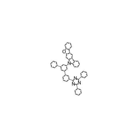 c1ccc(-c2cc(-c3cccc(-c4nc(-c5ccccc5)nc(-c5ccccc5)n4)c3)cc(-n3c4ccccc4c4cc5c(cc43)oc3ccccc35)c2)cc1